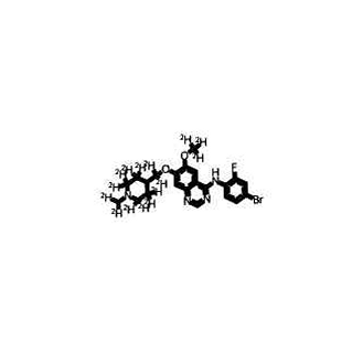 [2H]C([2H])N1C([2H])([2H])C([2H])([2H])C(C([2H])([2H])Oc2cc3ncnc(Nc4ccc(Br)cc4F)c3cc2OC([2H])([2H])[2H])C([2H])([2H])C1([2H])[2H]